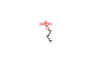 CC(C)=CCCC(C)=CCCC(C)=CCOCCP(=O)(O)O